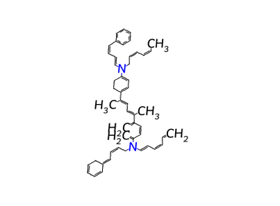 C=C/C=C\C=C\N(C/C=C\C=C1\C=CC=CC1)C(=C)/C=C\C(=C)/C(C)=C/C=C(\C)C1=CC=C(N(/C=C/C=C\c2ccccc2)C/C=C\C=C/C)CC1